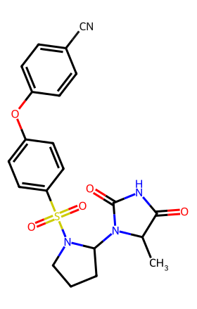 CC1C(=O)NC(=O)N1C1CCCN1S(=O)(=O)c1ccc(Oc2ccc(C#N)cc2)cc1